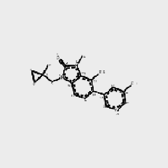 Cn1c(=O)n(CC2(C)CC2)c2ccc(-c3cncc(F)c3)c(F)c21